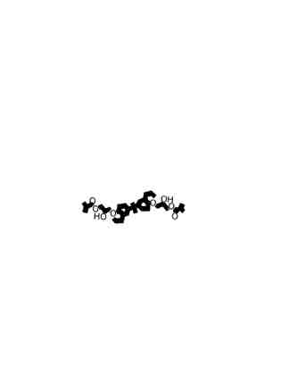 C=C(C)C(=O)OCC(O)COc1ccc(C(C)(C)c2ccc(OCC(O)COC(=O)C(=C)C)c(/C=C\C)c2)cc1/C=C\C